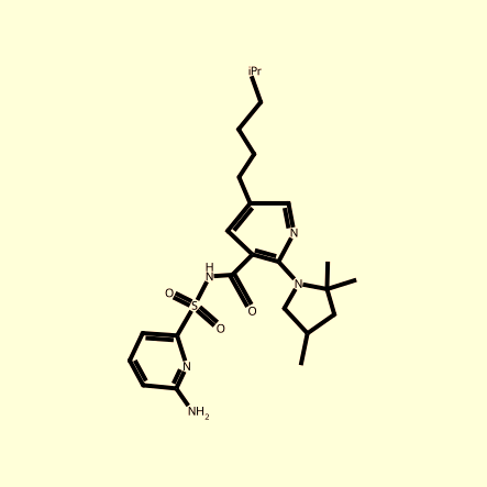 CC(C)CCCCc1cnc(N2CC(C)CC2(C)C)c(C(=O)NS(=O)(=O)c2cccc(N)n2)c1